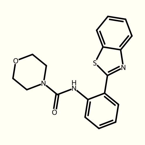 O=C(Nc1ccccc1-c1nc2ccccc2s1)N1CCOCC1